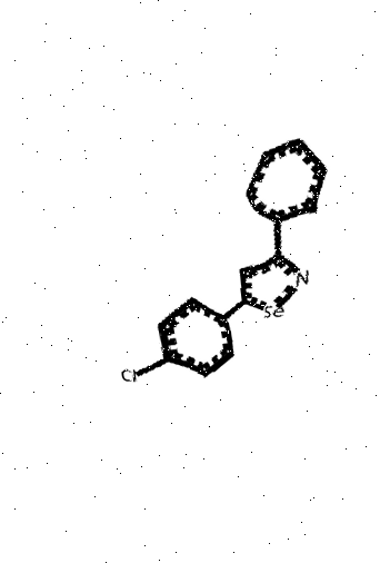 Clc1ccc(-c2cc(-c3ccccc3)n[se]2)cc1